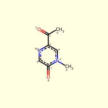 CC(=O)c1cn(C)c(=O)cn1